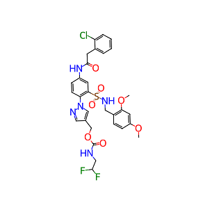 COc1ccc(CNS(=O)(=O)c2cc(NC(=O)Cc3ccccc3Cl)ccc2-n2cc(COC(=O)NCC(F)F)cn2)c(OC)c1